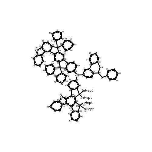 CCCCCCCC1(CCCCCCC)c2cc(N(c3ccc4c(c3)-c3ccccc3CC4Cc3ccccc3)c3ccc4c(c3)C(c3ccccc3)(c3ccccc3)c3cc5c(cc3-4)C(c3ccccc3)(c3ccccc3)c3ccc4oc6ccccc6c4c3-5)ccc2-c2c1c1c(c3c2oc2ccccc23)-c2ccccc2C1(CCCCCCC)CCCCCCC